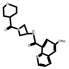 COc1cc(C(=O)NC2CN(C(=O)C3CCOCC3)C2)c2ncccc2c1